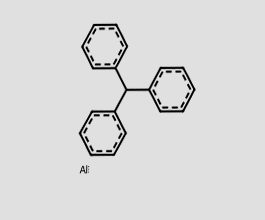 [Al].c1ccc(C(c2ccccc2)c2ccccc2)cc1